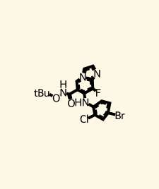 CC(C)(C)ONC(=O)c1cn2ccnc2c(F)c1Nc1ccc(Br)cc1Cl